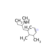 C/C=C\C(C)C(C)CCC(CC)NC